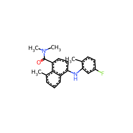 Cc1ccc(F)cc1Nc1ccc(C(=O)N(C)C)c2c(C)cccc12